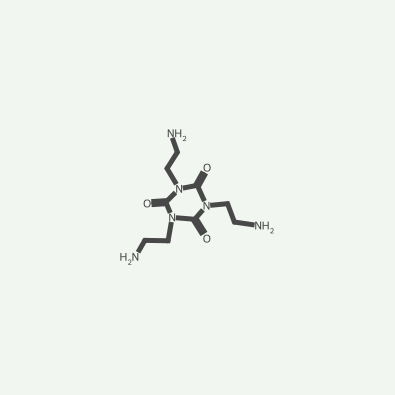 NCCn1c(=O)n(CCN)c(=O)n(CCN)c1=O